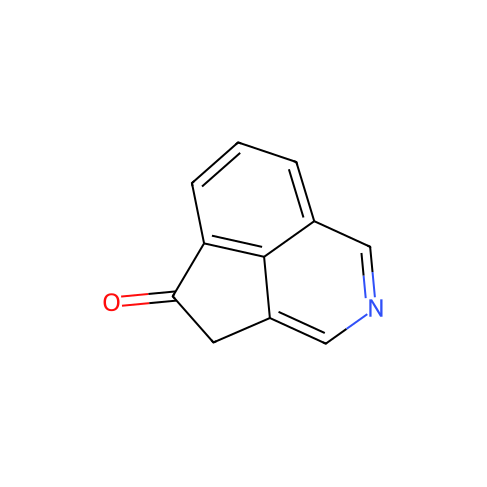 O=C1Cc2cncc3cccc1c23